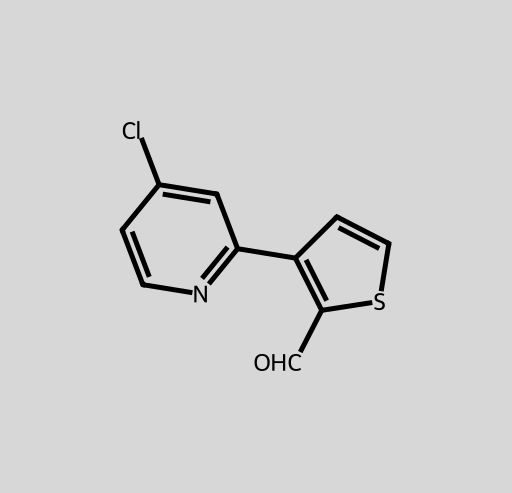 O=Cc1sccc1-c1cc(Cl)ccn1